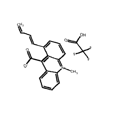 C=C/C=C/c1cccc2c1c(C(=O)[O-])c1ccccc1[n+]2C.O=C(O)C(F)(F)F